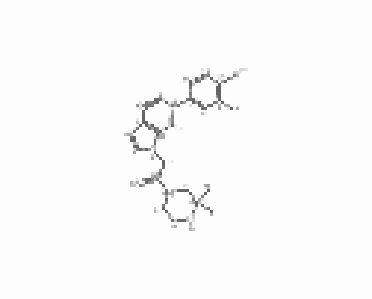 Cc1cc(-c2cnc3ccn(CC(=O)N4CCOC(C)(C)C4)c3c2)ccc1F